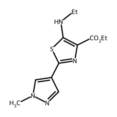 CCNc1sc(-c2cnn(C)c2)nc1C(=O)OCC